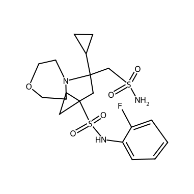 NS(=O)(=O)CC(CC1(S(=O)(=O)Nc2ccccc2F)CC1)(C1CC1)N1CCOCC1